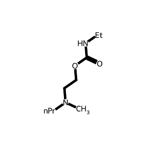 CCCN(C)CCOC(=O)NCC